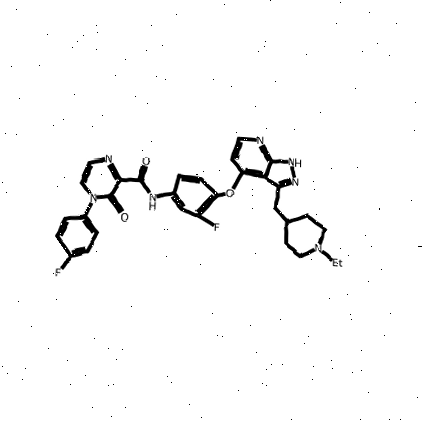 CCN1CCC(Cc2n[nH]c3nccc(Oc4ccc(NC(=O)c5nccn(-c6ccc(F)cc6)c5=O)cc4F)c23)CC1